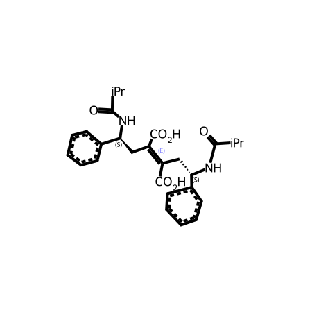 CC(C)C(=O)N[C@@H](C/C(C(=O)O)=C(/C[C@H](NC(=O)C(C)C)c1ccccc1)C(=O)O)c1ccccc1